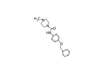 CN1CCN(C(=O)Nc2ccc(OCc3ccccc3)cc2)CC1